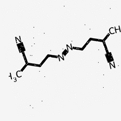 CC(C#N)CCN=NCCC(C)C#N